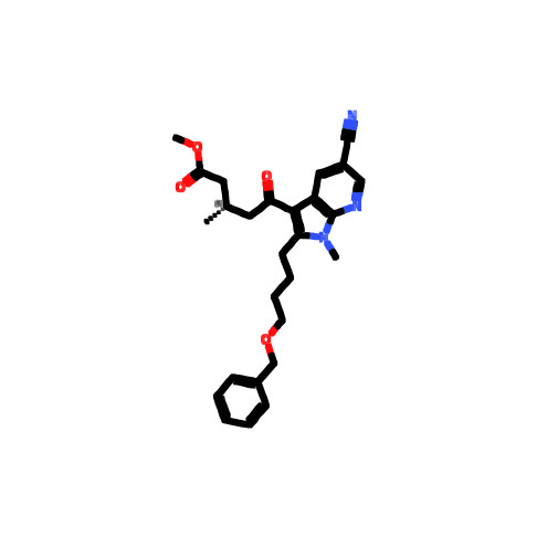 COC(=O)C[C@@H](C)CC(=O)c1c(CCCCOCc2ccccc2)n(C)c2ncc(C#N)cc12